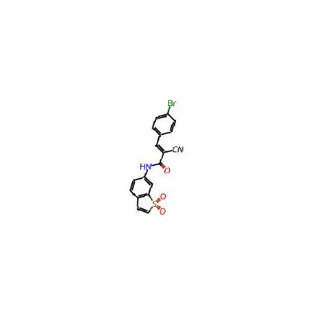 N#CC(=Cc1ccc(Br)cc1)C(=O)Nc1ccc2c(c1)S(=O)(=O)C=C2